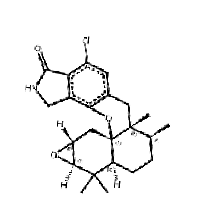 C[C@H]1CC[C@H]2C(C)(C)[C@H]3O[C@@H]3C[C@]23Oc2c(cc(Cl)c4c2CNC4=O)C[C@]13C